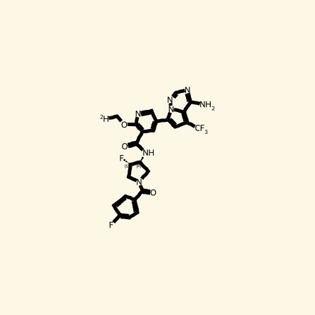 [2H]COc1ncc(-c2cc(C(F)(F)F)c3c(N)ncnn23)cc1C(=O)N[C@@H]1CN(C(=O)c2ccc(F)cc2)C[C@@H]1F